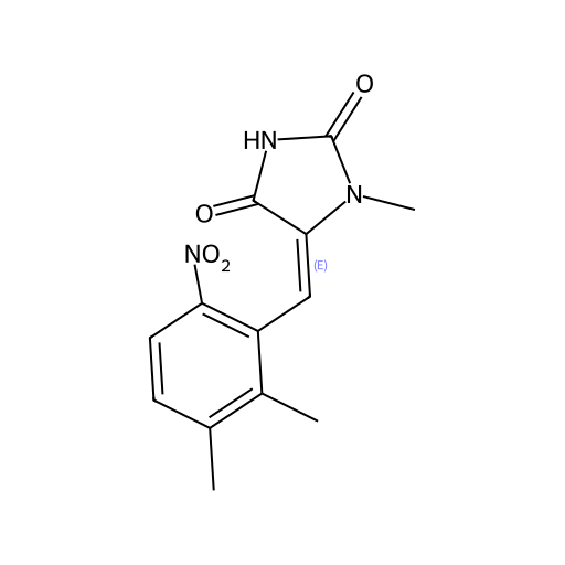 Cc1ccc([N+](=O)[O-])c(/C=C2\C(=O)NC(=O)N2C)c1C